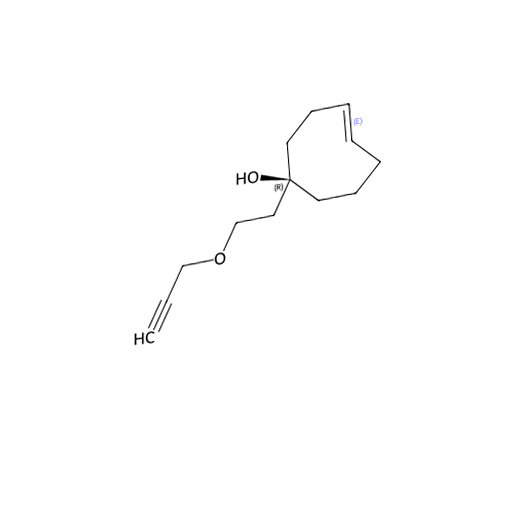 C#CCOCC[C@]1(O)CC/C=C/CCC1